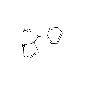 CC(=O)NC(c1ccccc1)n1ccnn1